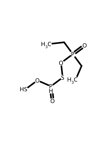 CCP(=O)(CC)OS[PH](=O)OS